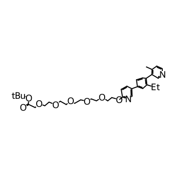 CCc1cc(-c2ccc(OCCOCCOCCOCCOCCOCC(=O)OC(C)(C)C)nc2)ccc1-c1cnccc1C